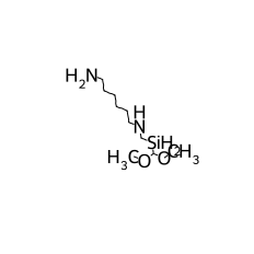 COC(OC)[SiH2]CNCCCCCCN